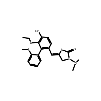 CCOc1c(O)ccc(C=C2CN(N(C)C)C(=O)S2)c1-c1ccccc1SC